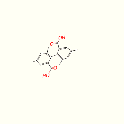 Cc1cc(C)c(-c2c(C)cc(C)cc2C(=O)O)c(C(=O)O)c1